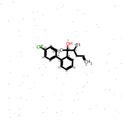 C=CCC(CC)C(C)(O)c1ccccc1-c1ccc(Cl)cc1